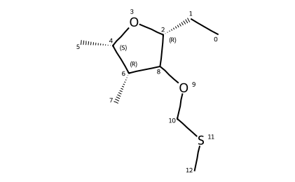 CC[C@H]1O[C@@H](C)[C@@H](C)C1OCSC